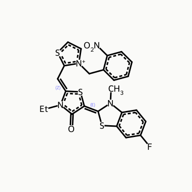 CCn1c(=O)/c(=C2\Sc3cc(F)ccc3N2C)s/c1=C\c1scc[n+]1Cc1ccccc1[N+](=O)[O-]